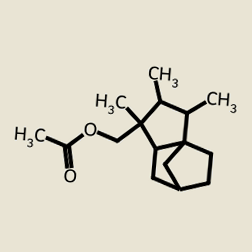 CC(=O)OCC1(C)C(C)C(C)C23CCC(CC12)C3